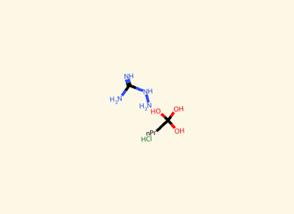 CCCC(O)(O)O.Cl.N=C(N)NN